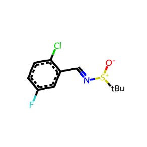 CC(C)(C)[S+]([O-])N=Cc1cc(F)ccc1Cl